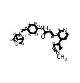 Cn1cc(-c2ccncc2C=CC(=O)Nc2ccc(CN3C4COCC3C4)cc2)cn1